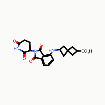 O=C1CCC(N2C(=O)c3cccc(NC4CC5(C4)CC(C(=O)O)C5)c3C2=O)C(=O)N1